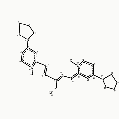 CC(N=Nc1cc(N2CCCC2)cc[n+]1C)=NN=c1cc(N2CCCC2)ccn1C.[Cl-]